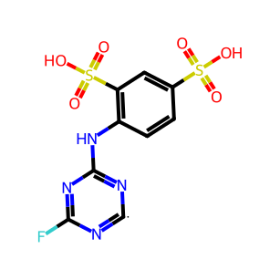 O=S(=O)(O)c1ccc(Nc2n[c]nc(F)n2)c(S(=O)(=O)O)c1